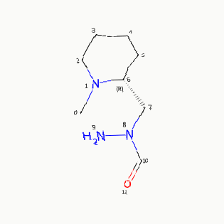 CN1CCCC[C@@H]1CN(N)C=O